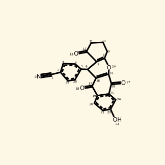 N#Cc1ccc(C2C3=C(CCCC3=O)OC3=C2C(=O)c2ccc(O)cc2C3=O)cc1